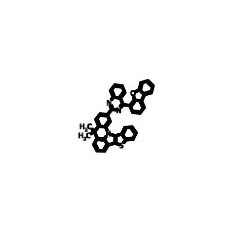 CC1(C)c2ccc(-c3nc(-c4cccc5c4oc4ccccc45)c4ccccc4n3)cc2-n2c3c1cccc3c1sc3ccccc3c12